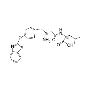 CC(C)C[C@H](NC(=O)C[C@H](N)Cc1ccc(Oc2nc3ccccc3s2)cc1)C(=O)O